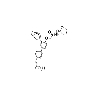 O=C(O)/C=C/c1ccc(-c2ccc(OCC(=O)NOC3CCCCO3)c(C34CC=C5C(CC5C3)C4)c2)cc1